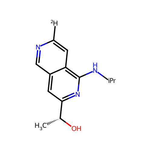 [2H]c1cc2c(NC(C)C)nc([C@@H](C)O)cc2cn1